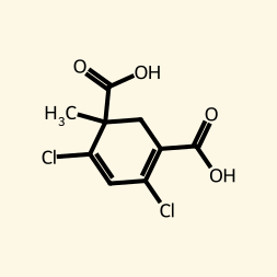 CC1(C(=O)O)CC(C(=O)O)=C(Cl)C=C1Cl